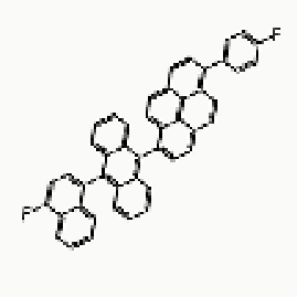 Fc1ccc(-c2ccc3ccc4c(-c5c6ccccc6c(-c6ccc(F)c7ccccc67)c6ccccc56)ccc5ccc2c3c54)cc1